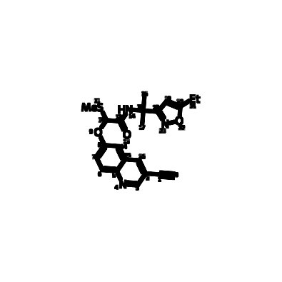 C#Cc1cnc2ccc(OC(SC)C(=O)NC(C)(C)c3cc(CC)on3)cc2c1